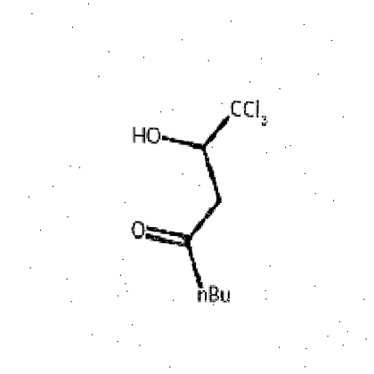 CCCCC(=O)CC(O)C(Cl)(Cl)Cl